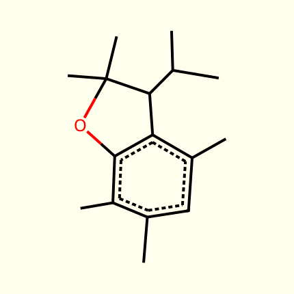 Cc1cc(C)c2c(c1C)OC(C)(C)C2C(C)C